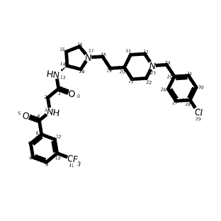 O=C(CNC(=O)c1cccc(C(F)(F)F)c1)N[C@@H]1CCN(CCC2CCN(Cc3ccc(Cl)cc3)CC2)C1